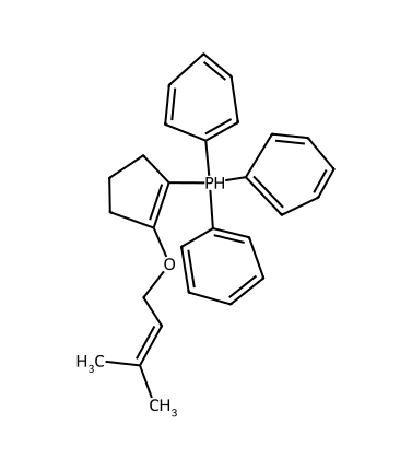 CC(C)=CCOC1=C([PH](c2ccccc2)(c2ccccc2)c2ccccc2)CCC1